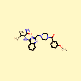 COc1cccc(C(=O)N2CCN(Cc3nc(N[C@H](C(N)=O)C(C)C)c4ccccc4n3)CC2)c1